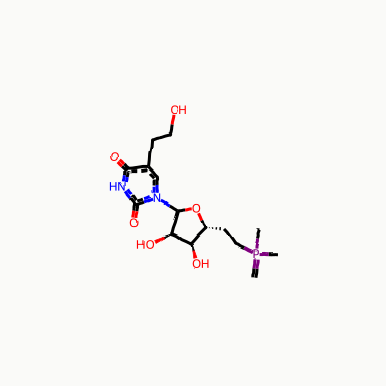 C=P(C)(C)CC[C@H]1OC(n2cc(CCO)c(=O)[nH]c2=O)[C@H](O)[C@@H]1O